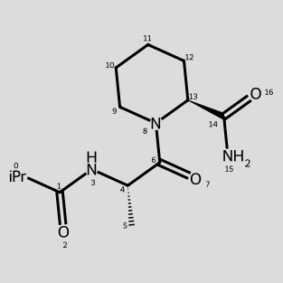 CC(C)C(=O)N[C@@H](C)C(=O)N1CCCC[C@H]1C(N)=O